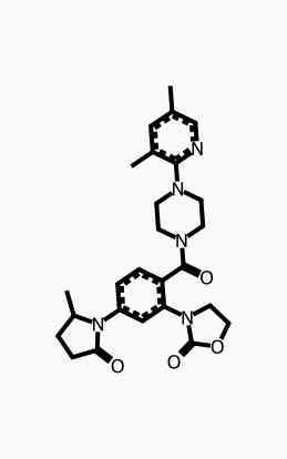 Cc1cnc(N2CCN(C(=O)c3ccc(N4C(=O)CCC4C)cc3N3CCOC3=O)CC2)c(C)c1